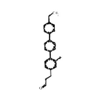 CCc1ccc(-c2ccc(-c3ccc(CCC=O)cc3F)cc2)cc1